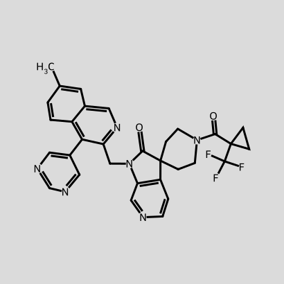 Cc1ccc2c(-c3cncnc3)c(CN3C(=O)C4(CCN(C(=O)C5(C(F)(F)F)CC5)CC4)c4ccncc43)ncc2c1